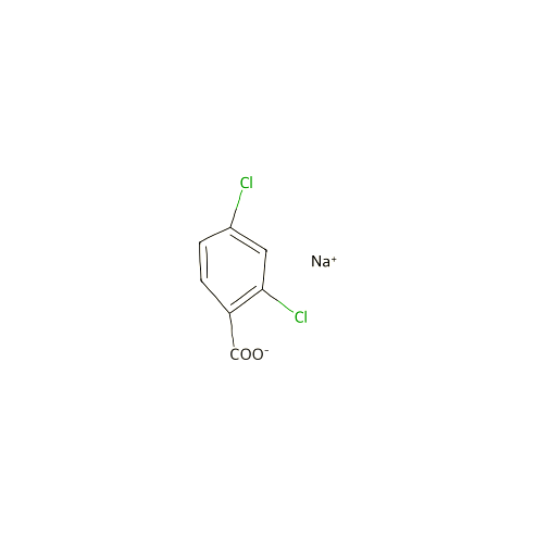 O=C([O-])c1ccc(Cl)cc1Cl.[Na+]